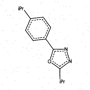 CC(C)c1ccc(-c2nnc(C(C)C)o2)cc1